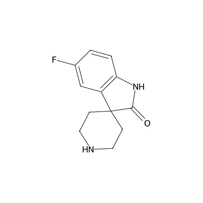 O=C1Nc2ccc(F)cc2C12CCNCC2